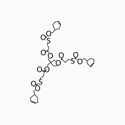 CCC(COC(=O)CCSC(=O)OCC1CC=CCC1)(COC(=O)CCSC(=O)OCC1CC=CCC1)COC(=O)CCSC(=O)OCC1CC=CCC1